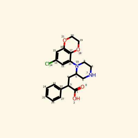 O=C(O)C(CC1CNCCN1c1cc(Cl)cc2c1OCCO2)c1ccccc1